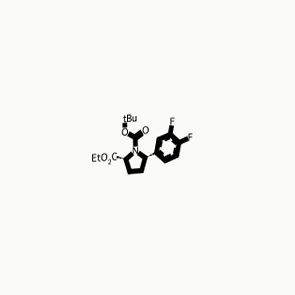 CCOC(=O)[C@H]1CC[C@@H](c2ccc(F)c(F)c2)N1C(=O)OC(C)(C)C